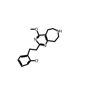 COc1nc(CCc2ccccc2Cl)nc2c1CCNCC2